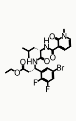 CCOC(=O)C[C@H](NC(=O)[C@H](CC(C)C)NC(=O)c1cccn(C)c1=O)c1cc(Br)cc(F)c1F